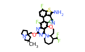 C[C@H]1CN2CCCC2(COc2nc3c4c(c(Cl)c(-c5ccc(F)c6sc(N)c(C#N)c56)c(F)c4n2)OCCC2C(C(F)F)CCCCN32)C1